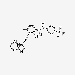 Cc1ccc2c(Nc3ccc(C(F)(F)F)cc3)noc2c1C#Cc1cnc2cccnn12